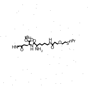 CCCSCCOCCC(=O)NCCCCC(N)C(=O)N[C@@H](CCC(=O)C=N)C(=O)OC(C)(C)C